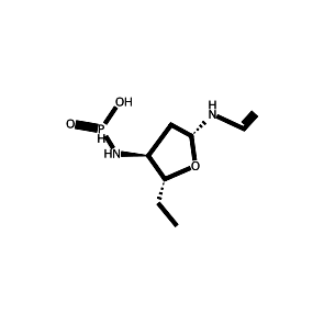 C=CN[C@H]1C[C@H](N[PH](=O)O)[C@@H](CC)O1